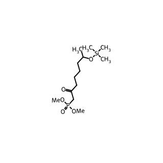 COP(=O)(CC(=O)CCCCC(C)O[Si](C)(C)C)OC